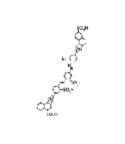 CCc1cc(-n2n3c4ccc5cc(S(=O)(=O)O)ccc5c4n23)ccc1N=Nc1ccc(C=Cc2ccc(-n3n4c5cc(S(=O)(=O)O)c6ccccc6c5n34)cc2S(=O)(=O)O)c(S(=O)(=O)O)c1